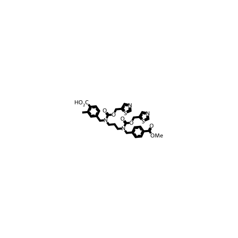 COC(=O)c1ccc(CN(CCCN(Cc2ccc(C(=O)O)c(C)c2)C(=O)OCc2cncs2)C(=O)OCc2cncs2)cc1